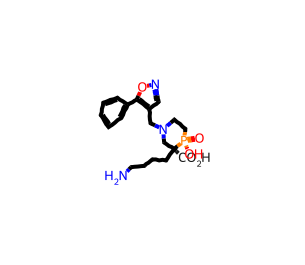 NCCCCC1(C(=O)O)CN(Cc2cnoc2-c2ccccc2)CCP1(=O)O